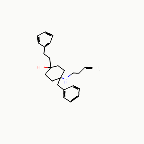 C=CCCNC1(Cc2ccccc2)CCC(O)(CCc2ccccc2)CC1